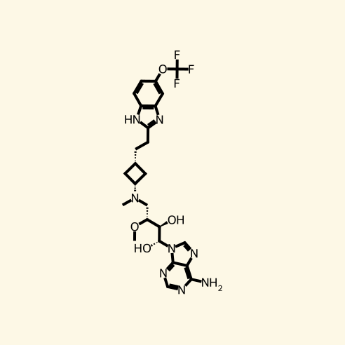 CO[C@H](CN(C)[C@H]1C[C@@H](CCc2nc3cc(OC(F)(F)F)ccc3[nH]2)C1)[C@@H](O)[C@@H](O)n1cnc2c(N)ncnc21